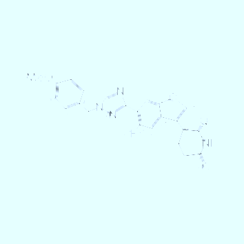 COc1ccc(Cn2cnc(-c3cc4occ(C5CCC(=O)NC5=O)c4cc3F)n2)cc1